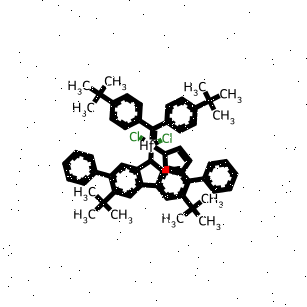 CC(C)(C)c1ccc([C](c2ccc(C(C)(C)C)cc2)=[Hf]([Cl])([Cl])([CH]2C=CC=C2)[CH]2c3cc(-c4ccccc4)c(C(C)(C)C)cc3-c3cc(C(C)(C)C)c(-c4ccccc4)cc32)cc1